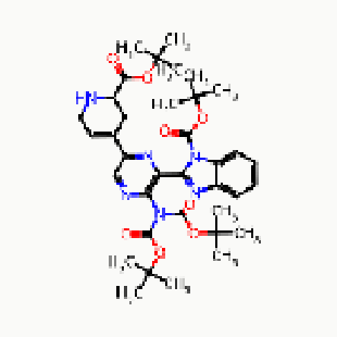 CC(C)(C)OC(=O)C1CC(c2cnc(N(C(=O)OC(C)(C)C)C(=O)OC(C)(C)C)c(-c3nc4ccccc4n3C(=O)OC(C)(C)C)n2)=CCN1